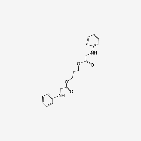 O=C(CNc1ccccc1)OCCCOC(=O)CNc1ccccc1